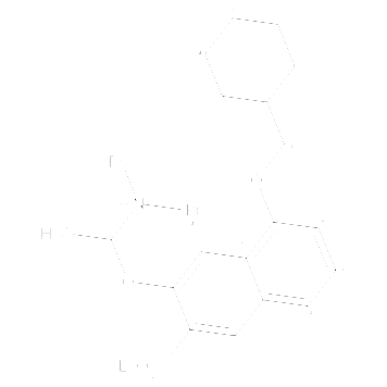 CCOC(=O)c1cc2cccc(OCC3CCCCC3)c2cc1OC(C)N(C(C)C)C(C)C